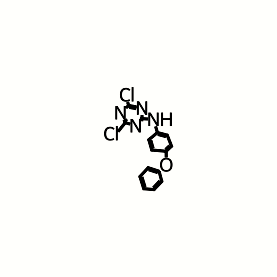 Clc1nc(Cl)nc(Nc2ccc(Oc3ccccc3)cc2)n1